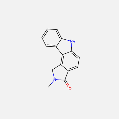 CN1Cc2c(ccc3[nH]c4ccccc4c23)C1=O